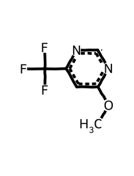 COc1cc(C(F)(F)F)n[c]n1